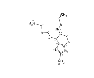 CCCNC1CCc2nc(N)sc2C1CCCCN